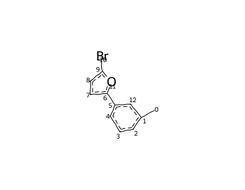 Cc1cccc(-c2ccc(Br)o2)c1